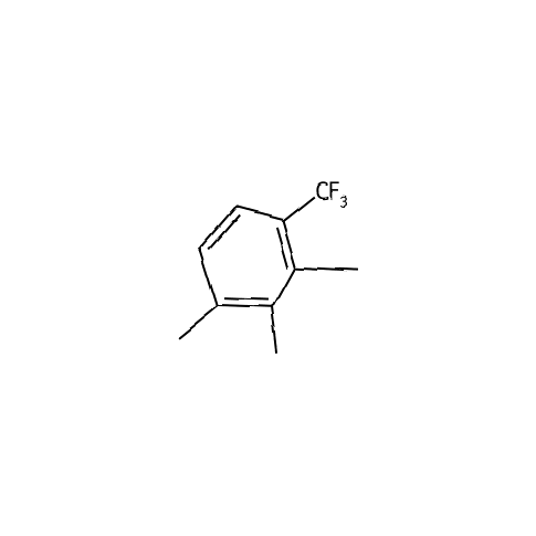 Cc1ccc(C(F)(F)F)c(C)c1C